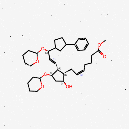 COC(=O)CCC/C=C\C[C@@H]1[C@@H](/C=C/[C@@H](OC2CCCCO2)C2CCC(c3ccccc3)C2)[C@H](OC2CCCCO2)C[C@@H]1O